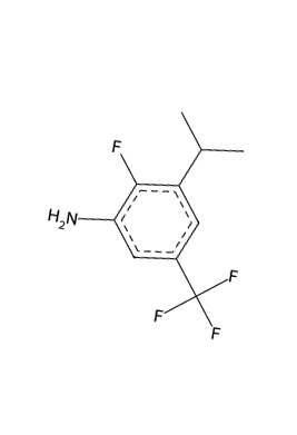 CC(C)c1cc(C(F)(F)F)cc(N)c1F